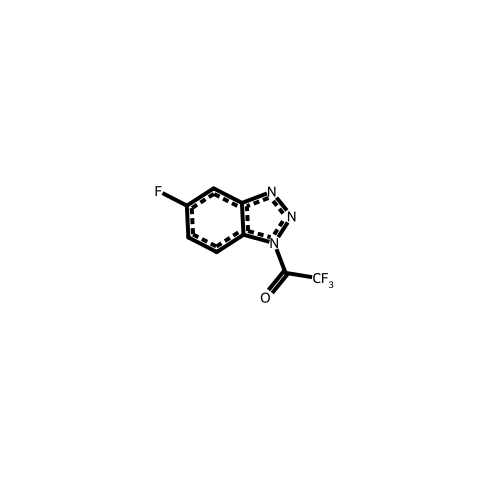 O=C(n1nnc2cc(F)ccc21)C(F)(F)F